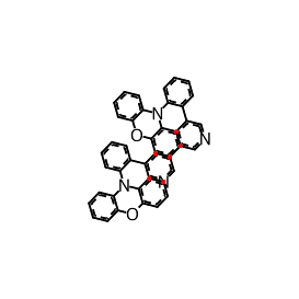 c1ccc2c(c1)Oc1ccccc1N2c1ccccc1-c1cncc(-c2cncc(-c3ccccc3N3c4ccccc4Oc4ccccc43)c2)c1